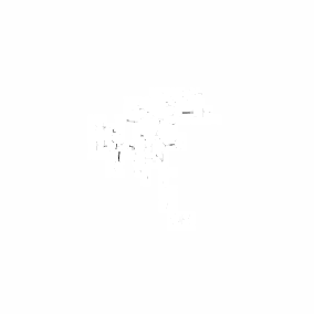 C=C1C[C@]23C[C@@]1(O)CC[C@H]2C1=C[C@H]2OC(=O)[C@@](C)([C@H]1[C@@H]3C(=O)NCCCCO)[C@H]2O